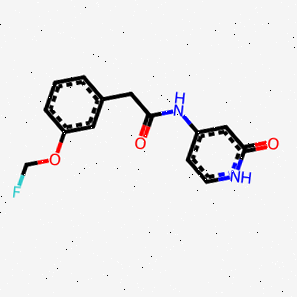 O=C(Cc1cccc(OCF)c1)Nc1cc[nH]c(=O)c1